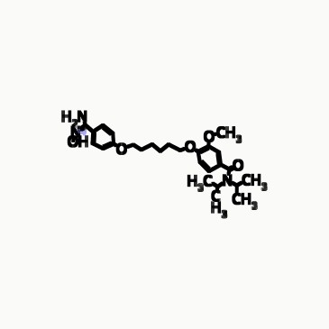 COc1cc(C(=O)N(C(C)C)C(C)C)ccc1OCCCCCCOc1ccc(/C(N)=N\O)cc1